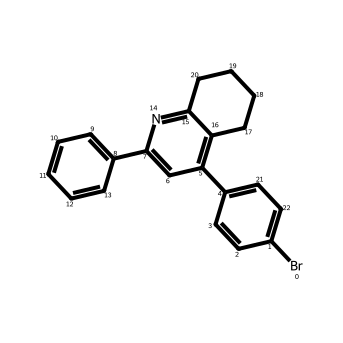 Brc1ccc(-c2cc(-c3ccccc3)nc3c2CCCC3)cc1